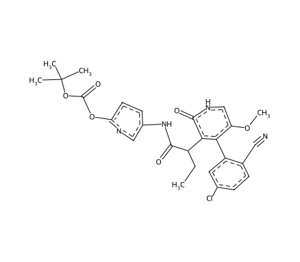 CCC(C(=O)Nc1ccc(OC(=O)OC(C)(C)C)nc1)c1c(-c2cc(Cl)ccc2C#N)c(OC)c[nH]c1=O